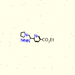 CCOC(=O)c1ccc(C(CN2CCCC2)N=[N+]=[N-])nc1